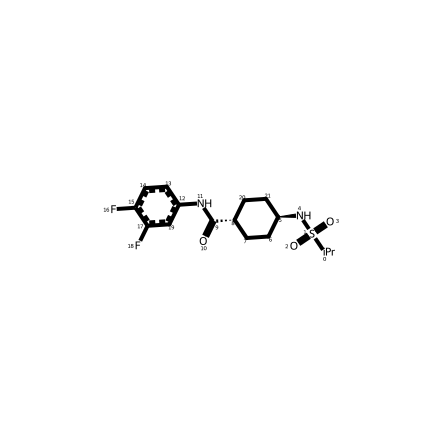 CC(C)S(=O)(=O)N[C@H]1CC[C@H](C(=O)Nc2ccc(F)c(F)c2)CC1